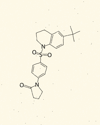 CC(C)(C)c1ccc2c(c1)CCCN2S(=O)(=O)c1ccc(N2CCCC2=O)cc1